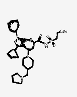 COCCS(=O)(=O)NC(=O)c1cc(N2CCC(CN3CCCC3)CC2)c2c(C3CCC3)nn(-c3ccccc3)c2n1